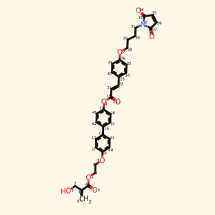 C=C(CO)C(=O)OCCOc1ccc(-c2ccc(OC(=O)/C=C/c3ccc(OCCCCN4C(=O)C=CC4=O)cc3)cc2)cc1